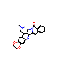 CN(C)Cc1c2c(nc3cc4c(cc13)OCCO4)-c1cc3ccccc3c(=O)n1C2